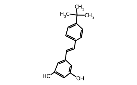 CC(C)(C)c1ccc(/C=C/c2cc(O)cc(O)c2)cc1